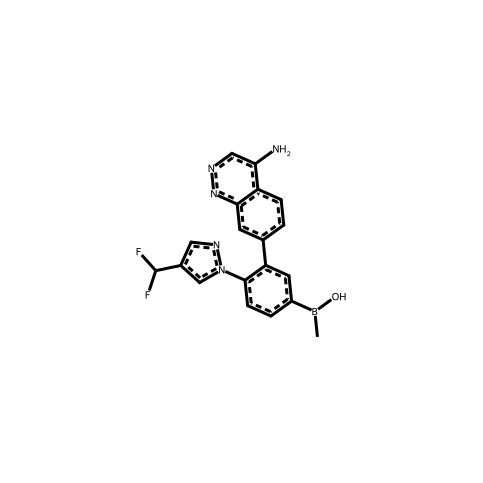 CB(O)c1ccc(-n2cc(C(F)F)cn2)c(-c2ccc3c(N)cnnc3c2)c1